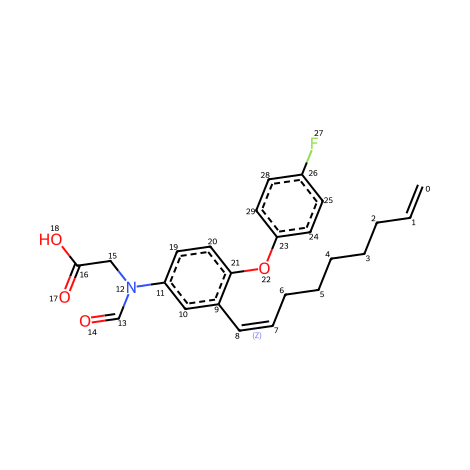 C=CCCCCC/C=C\c1cc(N(C=O)CC(=O)O)ccc1Oc1ccc(F)cc1